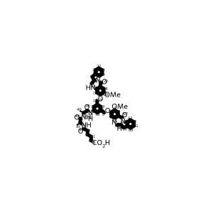 COc1cc2c(cc1OCc1cc(COc3cc4c(cc3OC)C(=O)N3c5ccccc5CC3CN4)cc(NC(=O)[C@H](C)NC(=O)[C@H](C)NC(=O)CCCCC(=O)O)c1)N=C[C@@H]1Cc3ccccc3N1C2=O